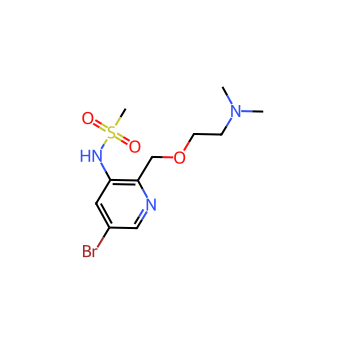 CN(C)CCOCc1ncc(Br)cc1NS(C)(=O)=O